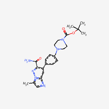 Cc1cnc2cc(-c3ccc(N4CCN(C(=O)OC(C)(C)C)CC4)cc3)c(C(N)=O)nn12